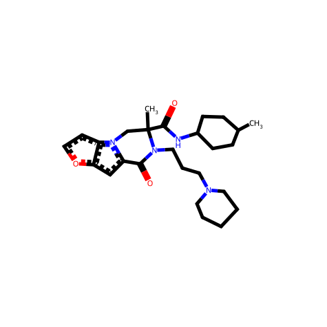 CC1CCC(NC(=O)C2(C)Cn3c(cc4occc43)C(=O)N2CCCN2CCCCC2)CC1